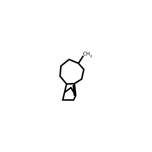 CC1CCCC2C(=C3CCC2C3)CC1